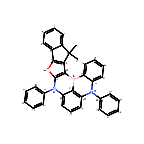 CC1(C)c2ccccc2-c2oc3c(c21)B1c2ccccc2N(c2ccccc2)c2cccc(c21)N3c1ccccc1